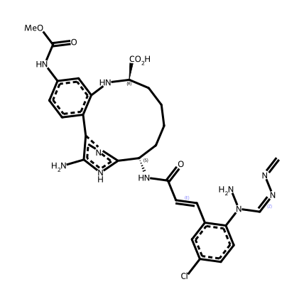 C=N/N=C\N(N)c1ccc(Cl)cc1/C=C/C(=O)N[C@H]1CCCC[C@H](C(=O)O)Nc2cc(NC(=O)OC)ccc2-c2nc1[nH]c2N